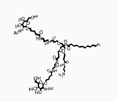 CC(=O)CCCCCCCCCCC(=O)NC(COCCC(=O)NCCCN)(COCCC(=O)NCCCNC(=O)CCCCO[C@@H]1OC(CO)[C@@H](O)C(O)C1NC(C)=O)COCCC(=O)NCCCNC(=O)CCCCO[C@@H]1OC(CO)[C@@H](O)C(O)C1NC(C)=O